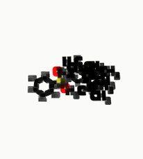 C=C(C[Si]([Si](C)(C)C)([Si](C)(C)C)[Si](C)(C)C)S(=O)(=O)c1ccccc1